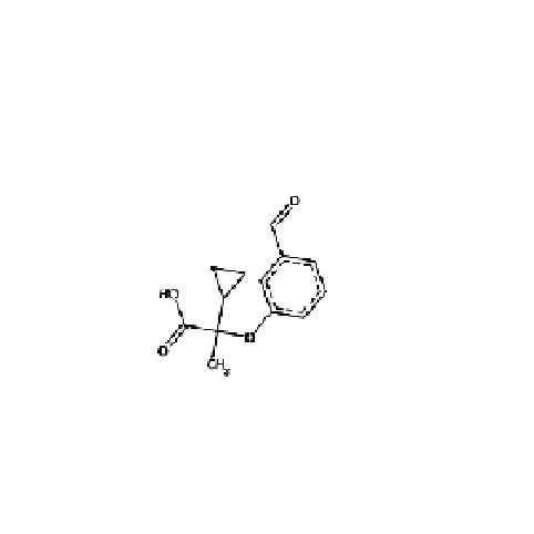 CC(Oc1cccc(C=O)c1)(C(=O)O)C1CC1